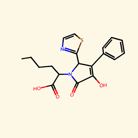 CCCCC(C(=O)O)N1C(=O)C(O)=C(c2ccccc2)C1c1nccs1